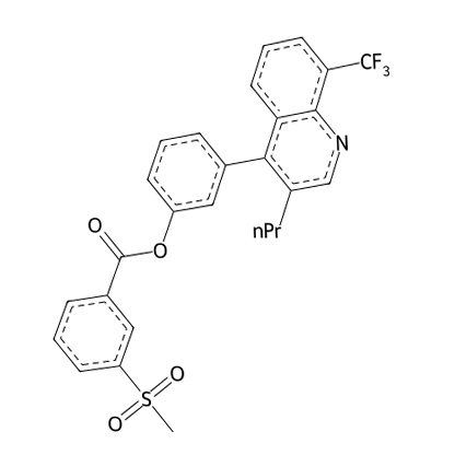 CCCc1cnc2c(C(F)(F)F)cccc2c1-c1cccc(OC(=O)c2cccc(S(C)(=O)=O)c2)c1